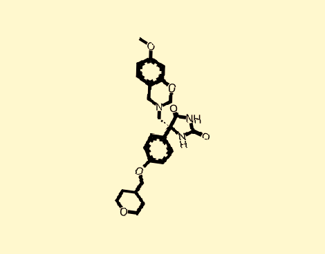 COc1ccc2c(c1)OCN(C[C@@]1(c3ccc(OCC4CCOCC4)cc3)NC(=O)NC1=O)C2